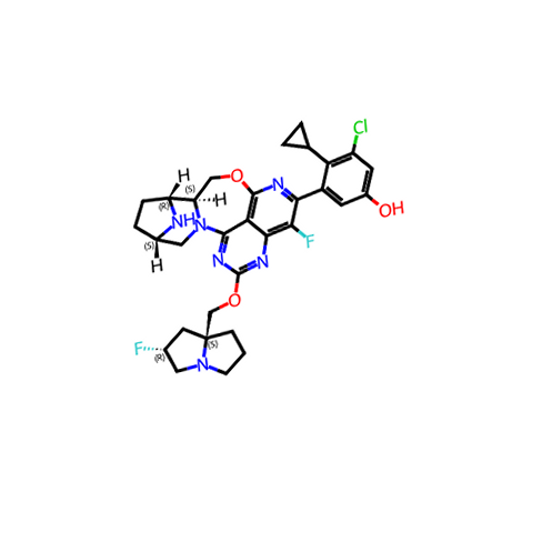 Oc1cc(Cl)c(C2CC2)c(-c2nc3c4c(nc(OC[C@@]56CCCN5C[C@H](F)C6)nc4c2F)N2C[C@@H]4CC[C@@H](N4)[C@H]2CO3)c1